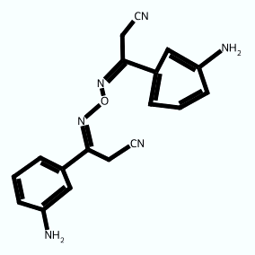 N#CCC(=NON=C(CC#N)c1cccc(N)c1)c1cccc(N)c1